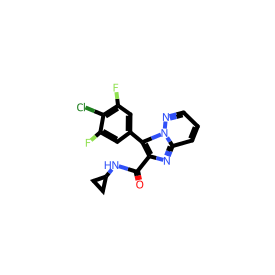 O=C(NC1CC1)c1nc2cccnn2c1-c1cc(F)c(Cl)c(F)c1